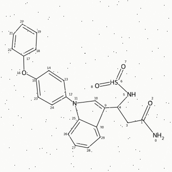 NC(=O)CC(N[SH](=O)=O)c1cn(-c2ccc(Oc3ccccc3)cc2)c2ccccc12